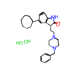 Cl.Cl.O=C1Nc2ccc(C3CCCCCC3)cc2C1CCN1CCN(Cc2ccccc2)CC1